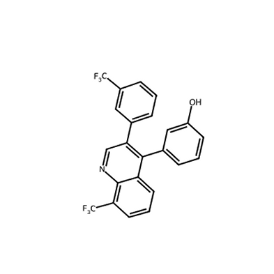 Oc1cccc(-c2c(-c3cccc(C(F)(F)F)c3)cnc3c(C(F)(F)F)cccc23)c1